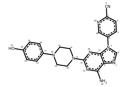 N#Cc1ccc(-n2cnc3c(N)nc(N4CCN(c5ccc(O)cc5)CC4)nc32)cn1